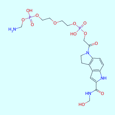 NCOP(=O)(O)OCCOCCOP(=O)(O)OCC(=O)N1CCc2c1ccc1[nH]c(C(=O)NCO)cc21